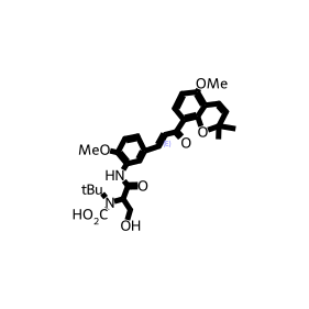 COc1ccc(/C=C/C(=O)c2ccc(OC)c3c2OC(C)(C)C=C3)cc1NC(=O)C(CO)N(C(=O)O)C(C)(C)C